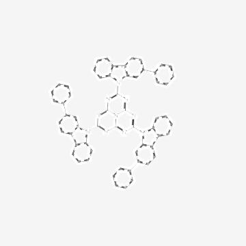 c1ccc(-c2ccc3c4ccccc4n(C4=NC5=NC(n6c7ccccc7c7ccc(-c8ccccc8)cc76)=NC6=NC(n7c8ccccc8c8ccc(-c9ccccc9)cc87)=NC(=N4)N56)c3c2)cc1